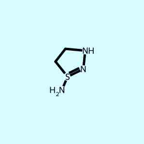 NS1=NNCC1